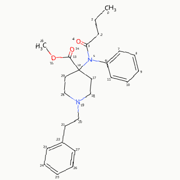 CCCC(=O)N(c1ccccc1)C1(C(=O)OC)CCN(CCc2ccccc2)CC1